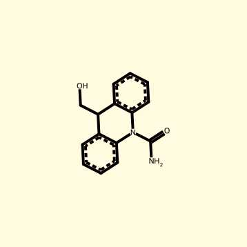 NC(=O)N1c2ccccc2C(CO)c2ccccc21